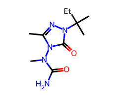 CCC(C)(C)n1nc(C)n(N(C)C(N)=O)c1=O